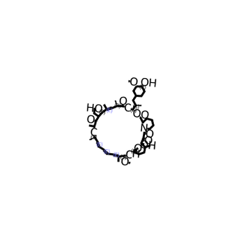 CCC1C(=O)C(C)C[C@H](C)/C=C/C=C/C=C(\C)[C@@H](OC)C[C@@H]2CCC(C)C(O)(O2)C(=O)C(=O)N2CCCCC2C(=O)O[C@H]([C@H](C)CC2CC[C@@H](O)C(OC)C2)CC(=O)[C@H](C)/C=C(\C)[C@H]1O